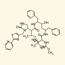 CCC(C)C(C(=O)NC(Cc1ccccc1)C(O)CC(Cc1ccccc1)NC(=O)C(NC(=O)OC)C(C)(C)C)C1CNC(=O)N1Cc1csc(-c2ccccn2)n1